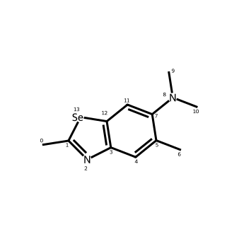 Cc1nc2cc(C)c(N(C)C)cc2[se]1